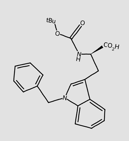 CC(C)(C)OC(=O)N[C@H](Cc1cn(Cc2ccccc2)c2ccccc12)C(=O)O